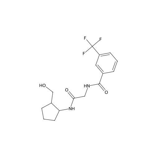 O=C(CNC(=O)c1cccc(C(F)(F)F)c1)NC1CCCC1CO